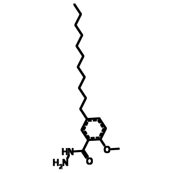 CCCCCCCCCCCc1ccc(OC)c(C(=O)NN)c1